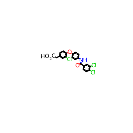 O=C(O)Cc1ccc(Oc2ccc(NC(=O)c3ccc(Cl)c(Cl)c3)cc2)c(Cl)c1